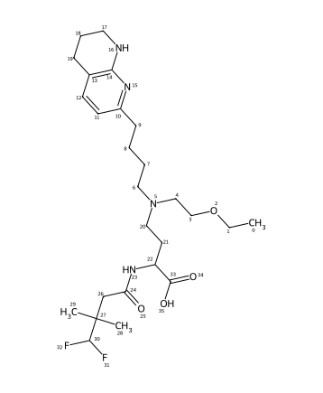 CCOCCN(CCCCc1ccc2c(n1)NCCC2)CCC(NC(=O)CC(C)(C)C(F)F)C(=O)O